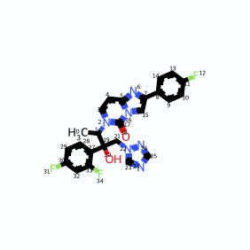 CC(n1ccc2nc(-c3ccc(F)cc3)cn2c1=O)C(O)(Cn1cncn1)c1ccc(F)cc1F